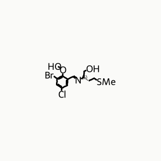 CSCC[C@@H](CO)N=Cc1cc(Cl)cc(Br)c1OO